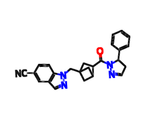 N#Cc1ccc2c(cnn2CC23CC(C2)C(C(=O)N2N=CCC2c2ccccc2)C3)c1